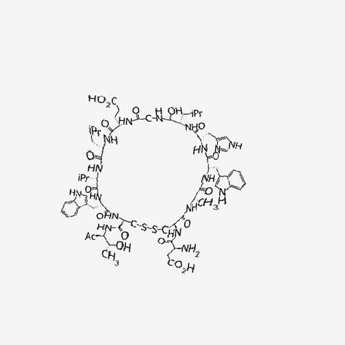 CC(=O)[C@@H](NC(=O)[C@@H]1CSSC[C@H](NC(=O)[C@@H](N)CC(=O)O)C(=O)N[C@@H](C)C(=O)N[C@@H](Cc2c[nH]c3ccccc23)C(=O)N[C@@H](Cc2c[nH]cn2)C(=O)N[C@@H](CC(C)C)C(O)NCC(=O)N[C@@H](CCC(=O)O)C(=O)N[C@@H](CC(C)C)C(=O)N[C@@H](C(C)C)C(=O)N[C@@H](Cc2c[nH]c3ccccc23)C(=O)N1)[C@@H](C)O